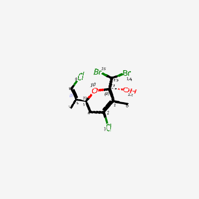 CC1=C(Cl)C[C@@H](/C(C)=C\Cl)O[C@@]1(O)C(Br)Br